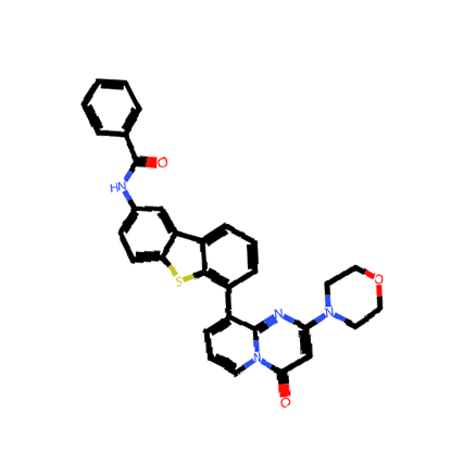 O=C(Nc1ccc2sc3c(-c4cccn5c(=O)cc(N6CCOCC6)nc45)cccc3c2c1)c1ccccc1